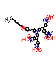 [C-]#[N+]/C(=C\c1ccc(C(=Cc2ccc(N(c3ccc(C=C(c4ccc(/C=C(\[N+]#[C-])C(=O)O)cc4)c4ccc(/C=C(\[N+]#[C-])C(=O)O)cc4)cc3)c3ccc(/C=C/c4ccc(OCCCCCCCCCC)cc4)cc3)cc2)c2ccc(/C=C(\[N+]#[C-])C(=O)O)cc2)cc1)C(=O)O